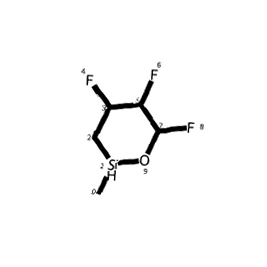 C[SiH]1CC(F)C(F)C(F)O1